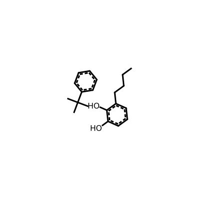 CC(C)(C)c1ccccc1.CCCCc1cccc(O)c1O